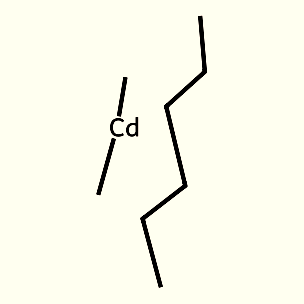 CCCCCC.[CH3][Cd][CH3]